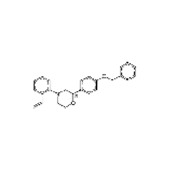 C=Cc1ccccc1N1CCO[C@H](c2ccc(OCc3ccccc3)cc2)C1